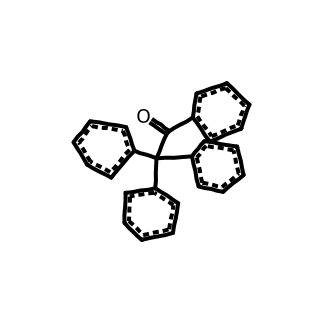 O=C(c1ccccc1)C(c1ccccc1)(c1ccccc1)c1ccccc1